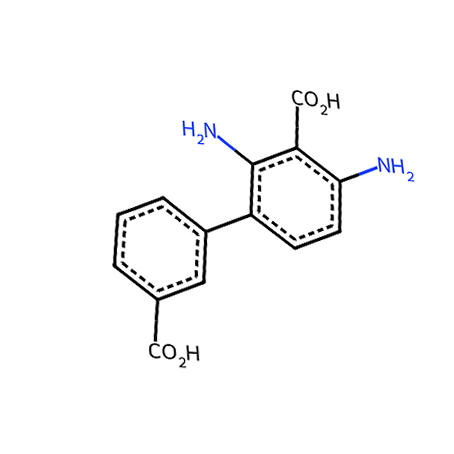 Nc1ccc(-c2cccc(C(=O)O)c2)c(N)c1C(=O)O